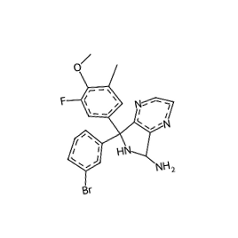 COc1c(C)cc(C2(c3cccc(Br)c3)NC(N)c3nccnc32)cc1F